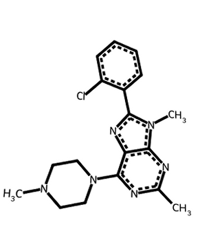 Cc1nc(N2CCN(C)CC2)c2nc(-c3ccccc3Cl)n(C)c2n1